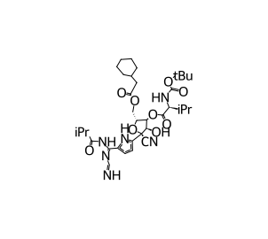 CC(C)C(=O)N/C(=N/C=N)c1ccc([C@]2(C#N)O[C@H](COC(=O)CC3CCCCC3)[C@@H](OC(=O)[C@@H](NC(=O)OC(C)(C)C)C(C)C)[C@H]2O)[nH]1